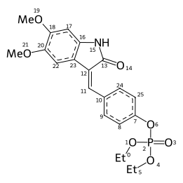 CCOP(=O)(OCC)Oc1ccc(C=C2C(=O)Nc3cc(OC)c(OC)cc32)cc1